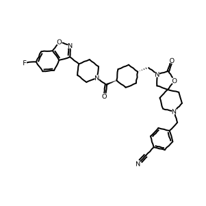 N#Cc1ccc(CN2CCC3(CC2)CN(C[C@H]2CC[C@H](C(=O)N4CCC(c5noc6cc(F)ccc56)CC4)CC2)C(=O)O3)cc1